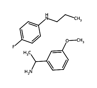 CCCNc1ccc(F)cc1.COc1cccc(C(C)N)c1